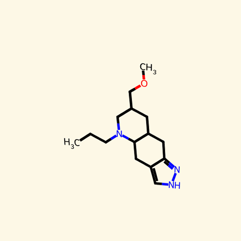 CCCN1CC(COC)CC2Cc3n[nH]cc3CC21